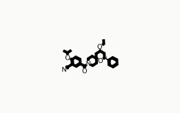 CCO[C@H]1C[C@@H](c2ccccc2)OC2(CCN(C(=O)c3ccc(OC(C)C)c(C#N)c3)CC2)C1